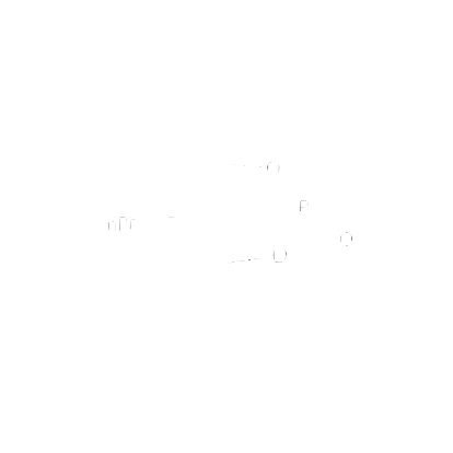 CCCC1COP(C)(=O)OC1